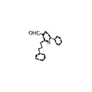 O=Cc1ccc(-c2ccccc2)nc1CCCc1ccccc1